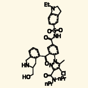 CCCN(CCC)C(=O)c1nn(-c2ccc(C(=O)NS(=O)(=O)c3ccc4c(c3)CCN4CC)cc2C(=O)c2cccc3c2CC(CO)NC3)c(C)c1Cl